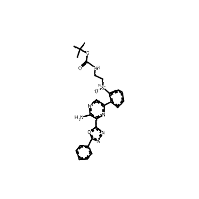 CC(C)(C)OC(=O)NCC[S@+]([O-])c1ccccc1-c1cnc(N)c(-c2nnc(-c3ccccc3)o2)n1